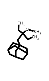 CCC(CC)(CC12CC3CC(CC(C3)C1)C2)O[SiH3]